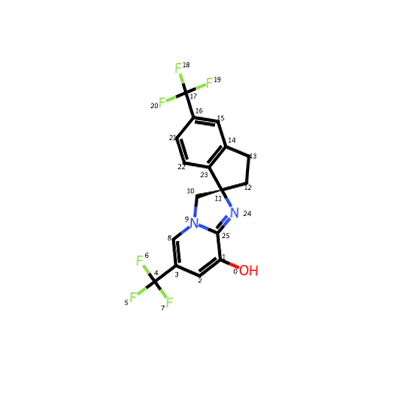 OC1=CC(C(F)(F)F)=CN2C[C@@]3(CCc4cc(C(F)(F)F)ccc43)N=C12